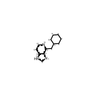 [c]1nc2c(CC3CCCCC3)nccc2[nH]1